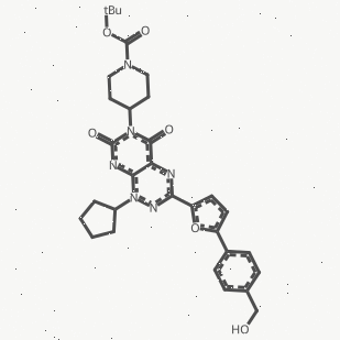 CC(C)(C)OC(=O)N1CCC(n2c(=O)nc3n(C4CCCC4)nc(-c4ccc(-c5ccc(CO)cc5)o4)nc-3c2=O)CC1